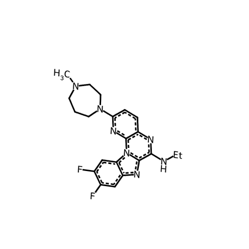 CCNc1nc2ccc(N3CCCN(C)CC3)nc2n2c1nc1cc(F)c(F)cc12